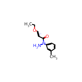 CCO/C=C/C(=O)N(N)c1cccc(C)c1